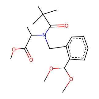 COC(=O)C(C)N(Cc1ccccc1C(OC)OC)C(=O)C(C)(C)C